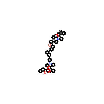 CC1(C)c2ccccc2-c2c(-c3ccccc3N(c3ccc(-c4ccc5c(-c6ccc7ccc8c(oc9cccc(-c%10cccc(N(c%11ccccc%11-c%11cccc%12c%11-c%11ccccc%11C%12(C)C)c%11cccc%12ccccc%11%12)c%10)c98)c7c6)cccc5c4)cc3)c3cccc(-c4cccc5oc6c7ccccc7ccc6c45)c3)cccc21